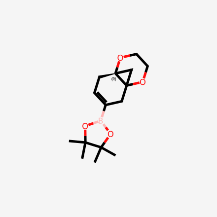 CC1(C)OB(C2=CC[C@@]34CC3(C2)OCCO4)OC1(C)C